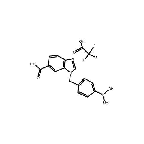 O=C(O)C(F)(F)F.O=C(O)c1ccc2ncn(Cc3ccc(B(O)O)cc3)c2c1